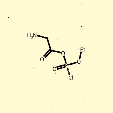 CCOP(=O)(Cl)OC(=O)CN